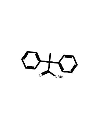 CNC(=O)C(C)(c1ccccc1)c1ccccc1